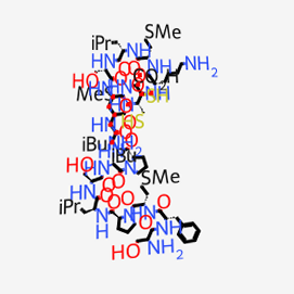 CC[C@H](C)[C@H](NC(=O)[C@@H]1CCCN1C(=O)[C@@H](NC(=O)[C@H](CO)NC(=O)[C@H](CC(C)C)NC(=O)[C@@H]1CCCN1C(=O)[C@H](CCSC)NC(=O)[C@H](Cc1ccccc1)NC(=O)[C@@H](N)CO)[C@@H](C)CC)C(=O)N[C@@H](CCSC)C(=O)N[C@@H](CS)C(=O)N[C@@H](CCCCN)C(=O)N[C@@H](CCSC)C(=O)N[C@@H](CC(C)C)C(=O)N[C@@H](CO)C(=O)N[C@@H](CCCCN)C(=O)N[C@@H](CS)C(=O)O